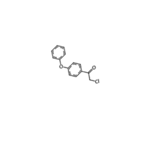 O=C(CCl)c1ccc(Oc2ccccc2)cc1